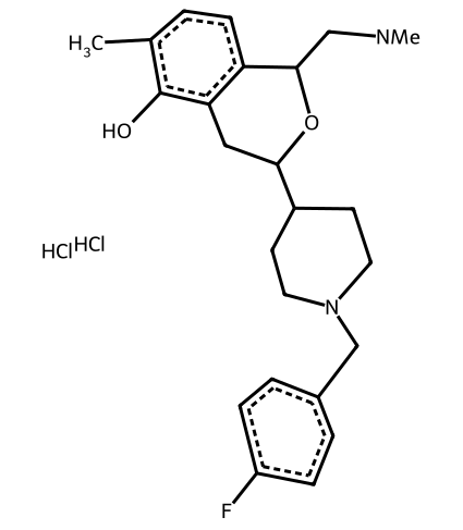 CNCC1OC(C2CCN(Cc3ccc(F)cc3)CC2)Cc2c1ccc(C)c2O.Cl.Cl